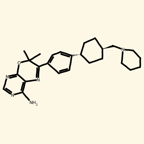 CC1(C)Oc2ncnc(N)c2N=C1c1ccc([C@H]2CC[C@H](CN3CCCCC3)CC2)cc1